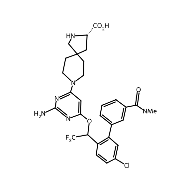 CNC(=O)c1cccc(-c2cc(Cl)ccc2C(Oc2cc(N3CCC4(CC3)CN[C@H](C(=O)O)C4)nc(N)n2)C(F)(F)F)c1